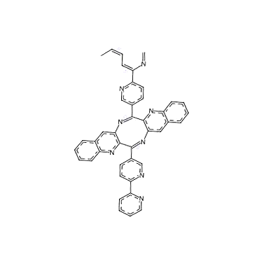 C=N/C(=C\C=C/C)c1ccc(/C2=N/c3cc4ccccc4nc3/C(c3ccc(-c4ccccn4)nc3)=N\c3cc4ccccc4nc32)cn1